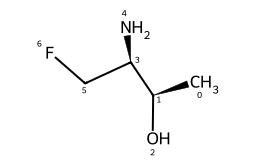 C[C@@H](O)[C@H](N)CF